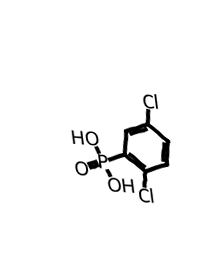 O=P(O)(O)c1cc(Cl)ccc1Cl